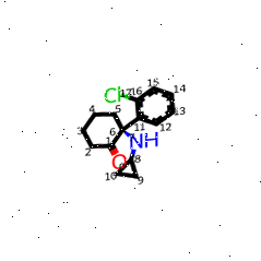 O=C1CCCC[C@]1(NC1CC1)c1ccccc1Cl